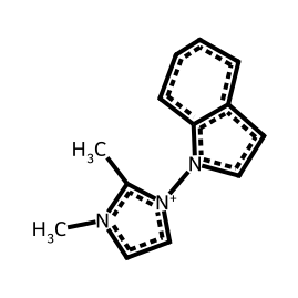 Cc1n(C)cc[n+]1-n1ccc2ccccc21